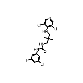 CC(C)(CNC(=O)Nc1cc(F)cc(Cl)c1)CNc1c(Cl)cncc1Cl